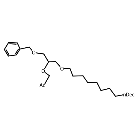 CCCCCCCCCCCCCCCCCCOCC(COCc1ccccc1)OCC(C)=O